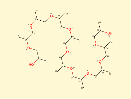 CC(O)COC(C)COC(C)COC(C)COC(C)COCC(C)OCC(C)OCC(C)OCC(C)OCC(C)O